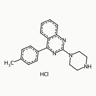 Cc1ccc(-c2nc(N3CCNCC3)nc3ccccc23)cc1.Cl